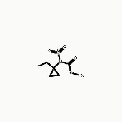 CC(C)(C)OC(=O)N([SH](=O)=O)C1(CF)CC1